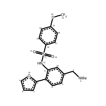 CNCc1ccc(-c2ccco2)c(NS(=O)(=O)c2ccc(OC(F)(F)F)cc2)c1